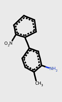 Cc1ccc(-c2ccccc2[N+](=O)[O-])cc1N